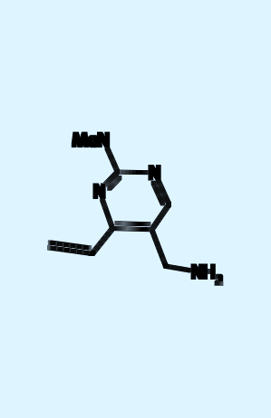 C=Cc1nc(NC)ncc1CN